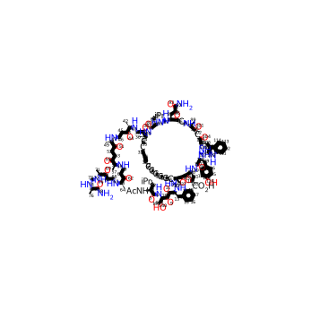 CC(=O)N[C@@H](CC(C)C)C(=O)N[C@H](C(=O)C(=O)[C@H](Cc1ccccc1)NN[C@]1(C)CCCCCC/C=C/CCC[C@@](C)(C(=O)CN[C@@H](C)C(=O)CCN[C@@H](C)C(=O)CCC(=O)[C@H](C)NCCC(=O)[C@H](C)NCCC(=O)[C@H](C)NCN[C@H](C)C(N)=O)NC(=O)[C@H](CC(C)C)NN[C@@H](CCC(N)=O)C(=O)CN[C@@H](C)C(=O)CC(=O)[C@H](Cc2c[nH]c3ccccc23)NN[C@@H](Cc2ccc(O)cc2)C(=O)N[C@@H](CCC(=O)O)C(=O)C1=O)[C@@H](C)O